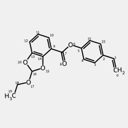 C=Cc1ccc(OC(=O)c2cccc3c2OC(OCC)O3)cc1